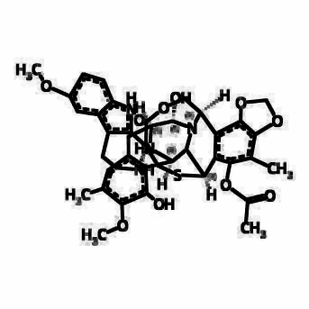 COc1ccc2[nH]c3c(c2c1)CCN[C@]31CS[C@@H]2c3c(OC(C)=O)c(C)c4c(c3[C@H](COC1=O)N1C2[C@@H]2N[C@@H](Cc3cc(C)c(OC)c(O)c32)[C@@H]1O)OCO4